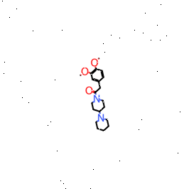 COc1ccc(CC(=O)N2CCC(N3CCCCC3)CC2)cc1OC